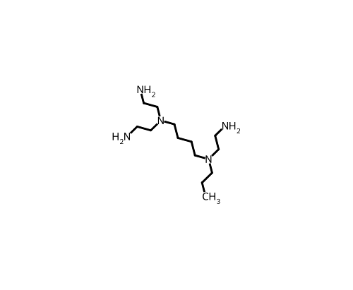 CCCN(CCN)CCCCN(CCN)CCN